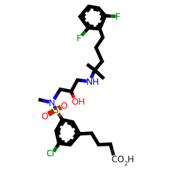 CN(CC(O)CNC(C)(C)CCCc1c(F)cccc1F)S(=O)(=O)c1cc(Cl)cc(CCCC(=O)O)c1